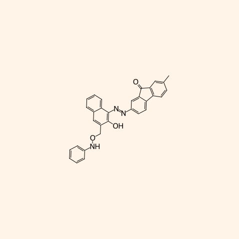 Cc1ccc2c(c1)C(=O)c1cc(N=Nc3c(O)c(CONc4ccccc4)cc4ccccc34)ccc1-2